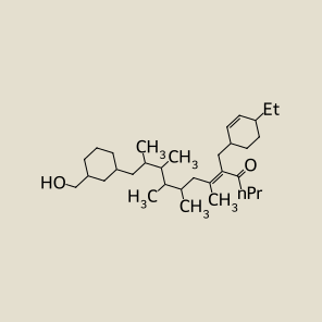 CCCC(=O)/C(CC1C=CC(CC)CC1)=C(\C)CC(C)C(C)C(C)C(C)CC1CCCC(CO)C1